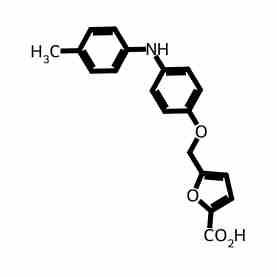 Cc1ccc(Nc2ccc(OCc3ccc(C(=O)O)o3)cc2)cc1